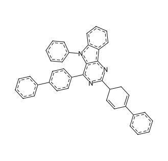 C1=CC(c2nc(-c3ccc(-c4ccccc4)cc3)c3c(n2)c2ccccc2n3-c2ccccc2)CC=C1c1ccccc1